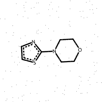 [c]1csc(N2CCOCC2)n1